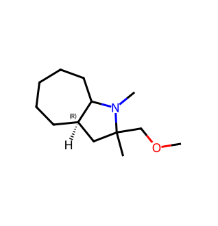 COCC1(C)C[C@H]2CCCCCC2N1C